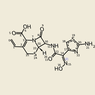 C=CC1=C(C(=O)O)N2C(=O)C(NC(=O)/C(=N\O)c3csc(N)n3)[C@@H]2SC1